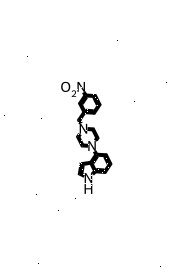 O=[N+]([O-])c1cccc(CN2CCN(c3cccc4[nH]ccc34)CC2)c1